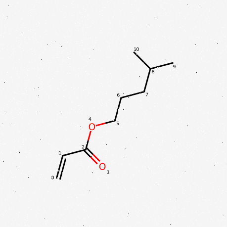 C=CC(=O)OCCCC(C)C